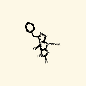 CCCCCn1c2nc(Br)[nH]c2c(=O)n2c(Cc3ccccc3)nnc12